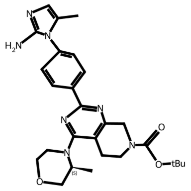 Cc1cnc(N)n1-c1ccc(-c2nc3c(c(N4CCOC[C@@H]4C)n2)CCN(C(=O)OC(C)(C)C)C3)cc1